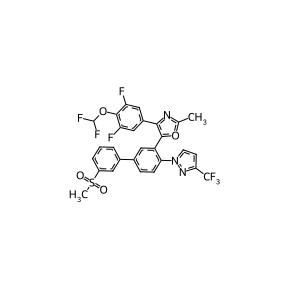 Cc1nc(-c2cc(F)c(OC(F)F)c(F)c2)c(-c2cc(-c3cccc(S(C)(=O)=O)c3)ccc2-n2ccc(C(F)(F)F)n2)o1